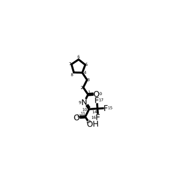 O=C(CCC1CCCC1)/N=C(/C(=O)O)C(F)(F)F